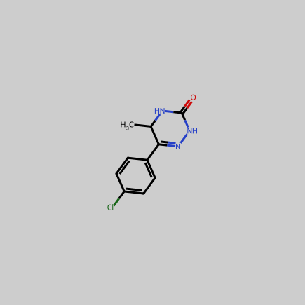 CC1NC(=O)NN=C1c1ccc(Cl)cc1